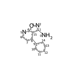 Nc1noc2nccc(-c3ccccc3)c12